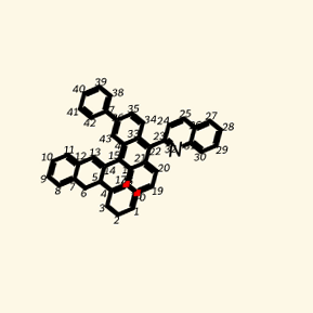 C1=CCCC(C2Cc3ccccc3C=C2c2c3ccccc3c(-c3ccc4ccccc4n3)c3ccc(-c4ccccc4)cc23)=C1